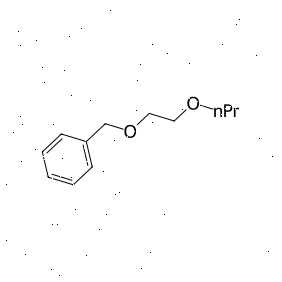 CCCOCCOCc1ccccc1